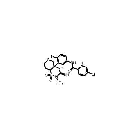 CN1C(=N)N[C@@]2(c3cc(NC(=O)C4C=CC(Cl)=CN4)ccc3F)COCCC2S1(=O)=O